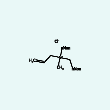 C=CC[N+](C)(CCCCCCCCC)CCCCCCCCCC.[Cl-]